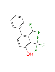 Oc1ccc(-c2ccccc2)c(C(F)F)c1C(F)(F)F